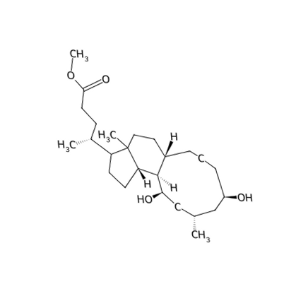 COC(=O)CC[C@@H](C)C1CC[C@H]2[C@H]3[C@@H](CCC[C@@H](O)C[C@H](C)C[C@H]3O)CCC12C